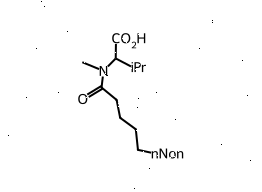 CCCCCCCCCCCCCC(=O)N(C)C(C(=O)O)C(C)C